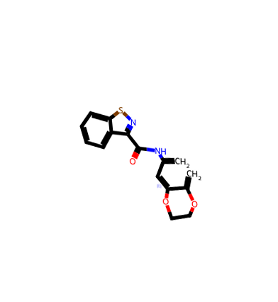 C=C(/C=C1/OCCOC1=C)NC(=O)c1nsc2ccccc12